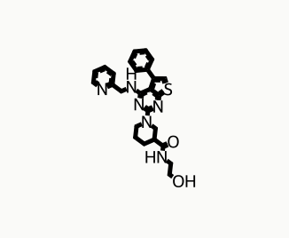 O=C(NCCO)C1CCCN(c2nc(NCc3ccccn3)c3c(-c4ccccc4)csc3n2)C1